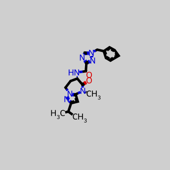 CC(C)c1cc2n(n1)CC[C@H](NC(=O)c1ncn(Cc3ccccc3)n1)C(=O)N2C